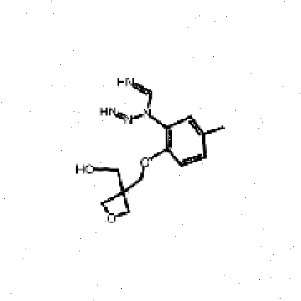 Cc1ccc(OCC2(CO)COC2)c(N(C=N)N=N)c1